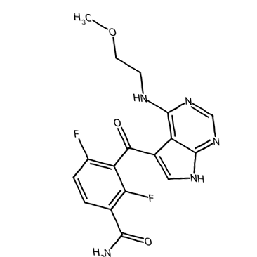 COCCNc1ncnc2[nH]cc(C(=O)c3c(F)ccc(C(N)=O)c3F)c12